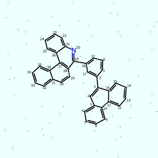 c1cc(-c2cc3ccccc3c3ccccc23)cc(-c2nc3ccccc3c3c2ccc2ccccc23)c1